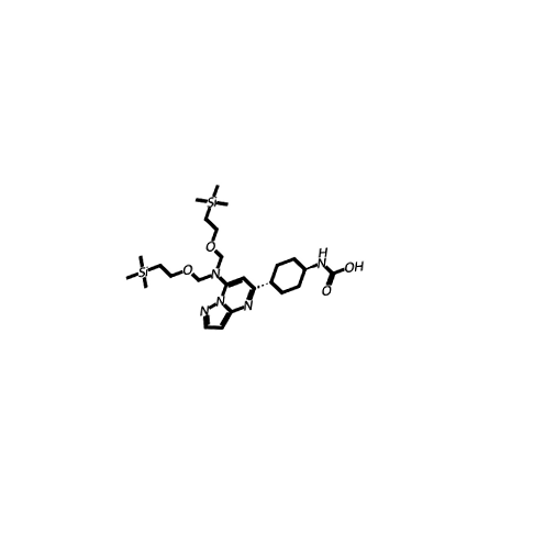 C[Si](C)(C)CCOCN(COCC[Si](C)(C)C)c1cc([C@H]2CC[C@H](NC(=O)O)CC2)nc2ccnn12